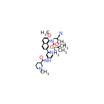 C=C(C#N)CN(C(=O)OC(C)(C)C)c1c(OC)ccc2ccc(-c3cc(NC(=O)C4CCCN(C)C4)ccn3)cc12